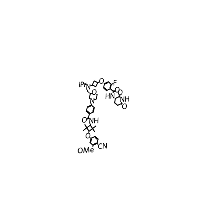 COc1cc(OC2C(C)(C)C(NC(=O)c3ccc(N4CCO[C@H](CN(C(C)C)C5CC(Oc6ccc(C(=O)N[C@H]7CCC(=O)NC7=O)c(F)c6)C5)C4)cc3)C2(C)C)ccc1C#N